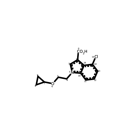 O=C(O)c1cn(CCOC2CC2)c2cccc(Cl)c12